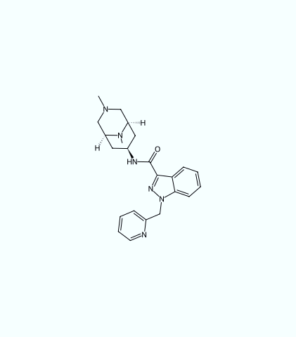 CN1C[C@H]2C[C@@H](NC(=O)c3nn(Cc4ccccn4)c4ccccc34)C[C@@H](C1)N2C